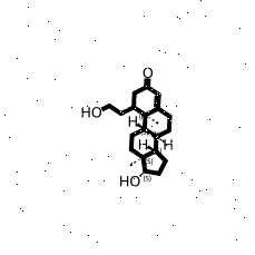 C[C@]12CC[C@H]3[C@@H](CCC4=CC(=O)CC(CCO)[C@@]43C)[C@@H]1CC[C@@H]2O